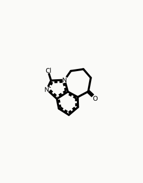 O=C1CCCn2c(Cl)nc3cccc1c32